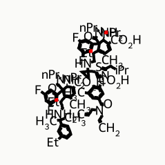 C=CCN(CC=C)C(=O)c1cc(C)cc(C(=O)O)c1.CCCN(CCC)C(=O)C1(c2cc(F)cc(F)c2)C([C@@H](CC)CNC(C)(C)c2cccc(CC)c2)=C(C)C=C(C(=O)O)[C@H]1N.CCCN(CCC)C(=O)C1(c2cc(F)cc(F)c2)C([C@@H](CC)CNC2(c3cnc(CC(C)C)s3)CC2)=C(C)C=C(C(=O)O)[C@@H]1N